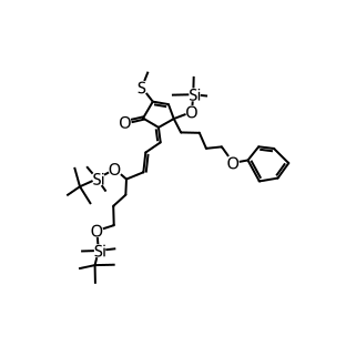 CSC1=CC(CCCCOc2ccccc2)(O[Si](C)(C)C)C(=CC=CC(CCCO[Si](C)(C)C(C)(C)C)O[Si](C)(C)C(C)(C)C)C1=O